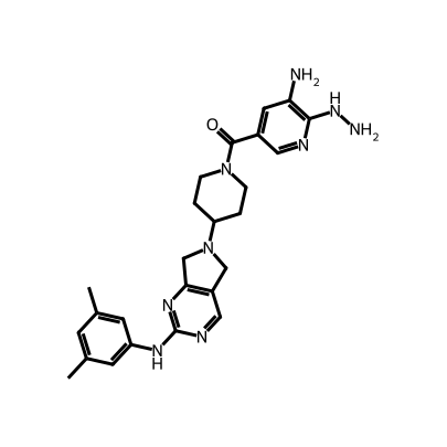 Cc1cc(C)cc(Nc2ncc3c(n2)CN(C2CCN(C(=O)c4cnc(NN)c(N)c4)CC2)C3)c1